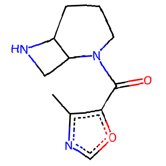 Cc1ncoc1C(=O)N1CCCC2NCC21